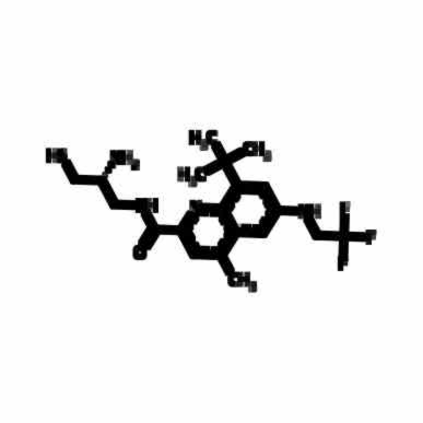 Cc1cc(C(=O)NC[C@@H](N)CS)nc2c(C(C)(C)C)cc(NCC(F)(F)F)cc12